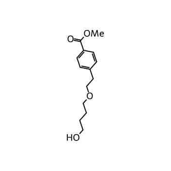 COC(=O)c1ccc(CCOCCCCO)cc1